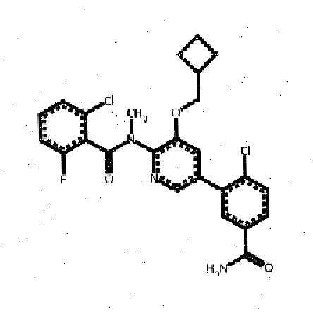 CN(C(=O)c1c(F)cccc1Cl)c1ncc(-c2cc(C(N)=O)ccc2Cl)cc1OCC1CCC1